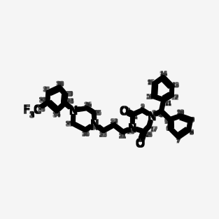 O=C1CN(C(c2ccccc2)c2ccccc2)CC(=O)N1CCCN1CCN(c2cccc(C(F)(F)F)c2)CC1